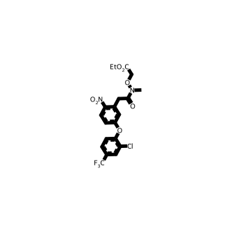 CCOC(=O)CON(C)C(=O)Cc1cc(Oc2ccc(C(F)(F)F)cc2Cl)ccc1[N+](=O)[O-]